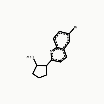 COC1CCCC1c1ccc2cc(Br)ccc2n1